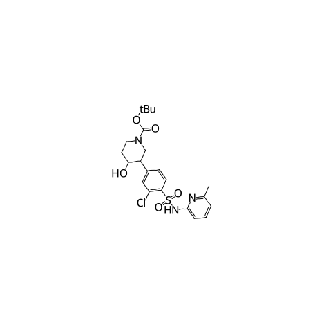 Cc1cccc(NS(=O)(=O)c2ccc(C3CN(C(=O)OC(C)(C)C)CCC3O)cc2Cl)n1